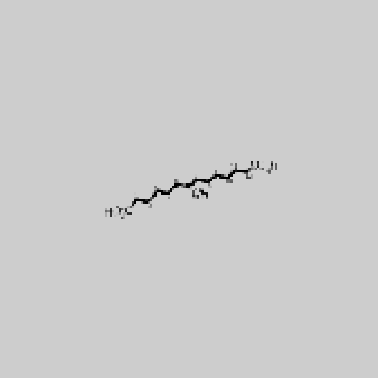 O=C(O)CCCCCCCCCCCCC(=O)O.[LiH]